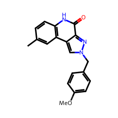 COc1ccc(Cn2cc3c(n2)c(=O)[nH]c2ccc(C)cc23)cc1